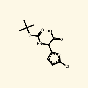 CC(C)(C)OC(=O)NC(C(=O)O)c1ccc(Cl)s1